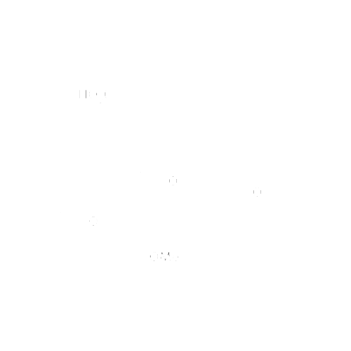 COc1c(C)c(-c2ccc(OCc3ccccc3)cc2)c(Oc2ccc(C=CC(=O)O)cc2)c2ccc(OCc3ccccc3)cc12